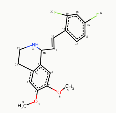 COc1cc2c(cc1OC)C(/C=C/c1ccc(F)cc1F)NCC2